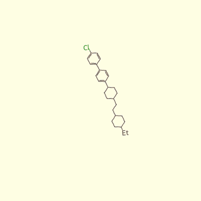 CCC1CCC(CCC2CCC(c3ccc(-c4ccc(Cl)cc4)cc3)CC2)CC1